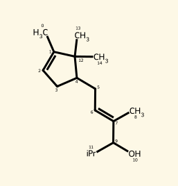 CC1=CCC(C/C=C(\C)C(O)C(C)C)C1(C)C